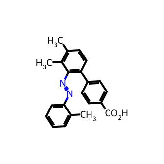 Cc1ccccc1N=Nc1c(-c2ccc(C(=O)O)cc2)ccc(C)c1C